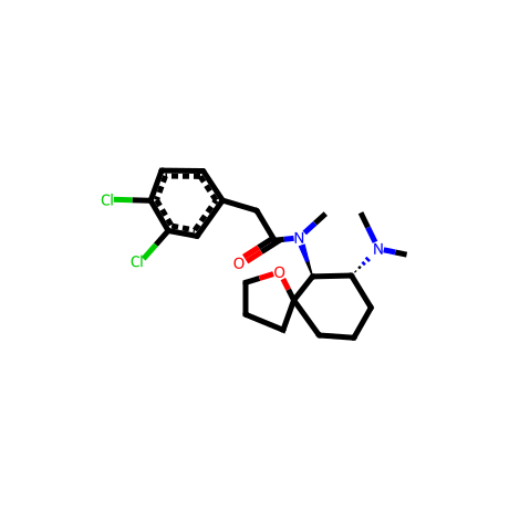 CN(C)[C@@H]1CCCC2(CCCO2)[C@H]1N(C)C(=O)Cc1ccc(Cl)c(Cl)c1